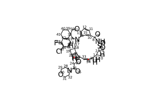 C[C@@H]1[C@@H](C)S(=O)(=O)NC(=O)c2ccc3c(c2)N(C[C@@H]2CC[C@H]2[C@@H](OCC(=O)N2CCOCC2)C2=C[C@H]1C2)C[C@@]1(CCCc2c1ccc(Cl)c2F)CO3